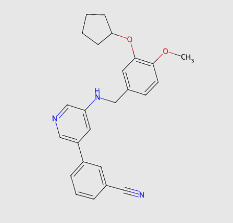 COc1ccc(CNc2cncc(-c3cccc(C#N)c3)c2)cc1OC1CCCC1